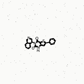 O=c1[nH]c2cc(-c3ccccc3)sc2c(=O)n1-c1cncc2ccccc12